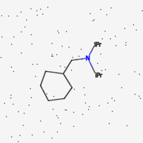 CC(C)N(CC1CCCCC1)C(C)C